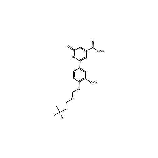 COC(=O)c1cc(-c2ccc(OCOCC[Si](C)(C)C)c(OC)c2)[nH]c(=O)c1